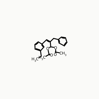 CCc1cccc(C=C(Cc2ccccc2)C(OC(C)=O)OC(C)=O)c1